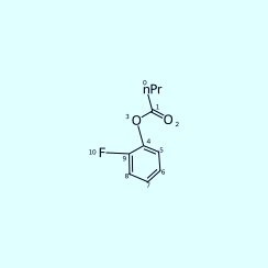 CCCC(=O)Oc1ccccc1F